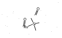 C[Si](C)(C)[Ru].[C]=O.[C]=O